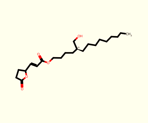 CCCCCCCCC[C@H](CO)CCCCOC(=O)C=CC1CCC(=O)O1